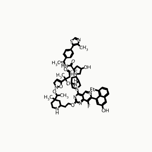 CCc1cccc2cc(O)cc(-c3ncc4c(N5CC6CCC(C5)N6)nc(OCCC5CC(C)(C(C)ON6CC=C(C(C)(C)CC(=O)[C@]7(C(=O)N[C@@H](C)c8ccc(-c9scnc9C)cc8)CC(O)CN7)O6)CCN5)nc4c3F)c12